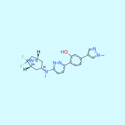 CN(c1ccc(-c2ccc(-c3cnn(C)c3)cc2O)nn1)[C@@H]1C[C@H]2CC(F)(F)[C@@H](C1)N2